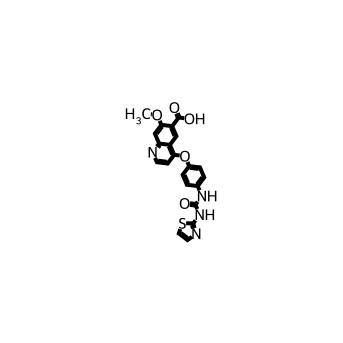 COc1cc2nccc(Oc3ccc(NC(=O)Nc4nccs4)cc3)c2cc1C(=O)O